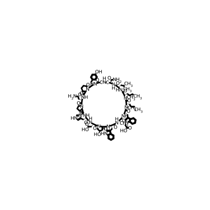 CCCC[C@H]1C(=O)N(C)[C@@H](CCCC)C(=O)N[C@@H](CC(C)C)C(=O)N[C@H](C(N)=O)CNCC(=O)N[C@@H](Cc2ccc(O)cc2)C(=O)N2CCCC[C@H]2C(=O)N[C@@H](CC(N)=O)C(=O)N2CCC[C@H]2C(=O)N[C@@H](Cc2c[nH]cn2)C(=O)N[C@@H](CC(=O)O)C(=O)N2C[C@H](O)C[C@H]2C(=O)N[C@@H](Cc2c[nH]c3ccccc23)C(=O)N[C@@H](C)C(=O)N[C@@H](Cc2cn(CC(=O)O)c3ccccc23)C(=O)N1C